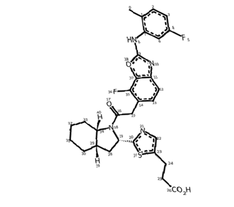 Cc1ccc(F)cc1Nc1nc2ccc(CC(=O)N3[C@H](c4ncc(CCC(=O)O)s4)C[C@@H]4CCCC[C@@H]43)c(F)c2o1